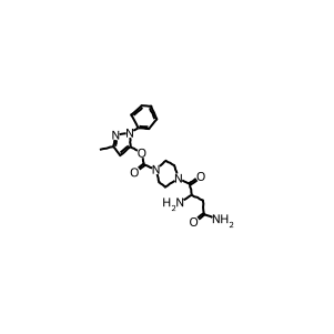 Cc1cc(OC(=O)N2CCN(C(=O)C(N)CC(N)=O)CC2)n(-c2ccccc2)n1